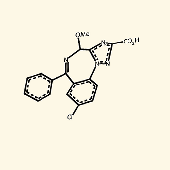 COC1N=C(c2ccccc2)c2cc(Cl)ccc2-n2nc(C(=O)O)nc21